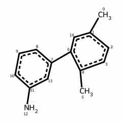 Cc1ccc(C)c(-c2cccc(N)c2)c1